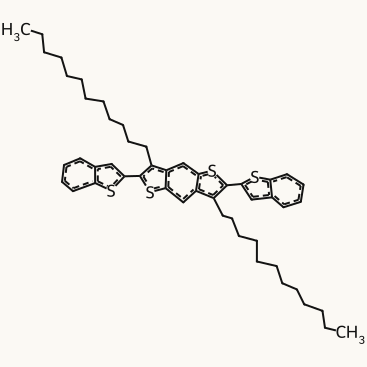 CCCCCCCCCCCCc1c(-c2cc3ccccc3s2)sc2cc3c(CCCCCCCCCCCC)c(-c4cc5ccccc5s4)sc3cc12